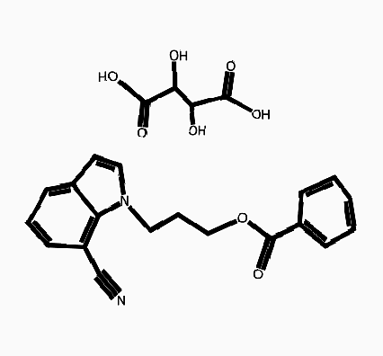 N#Cc1cccc2ccn(CCCOC(=O)c3ccccc3)c12.O=C(O)C(O)C(O)C(=O)O